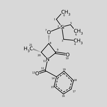 CC[Si](CC)(CC)O[C@@H]1C(=O)N(C(=O)c2ccccc2)[C@@H]1C